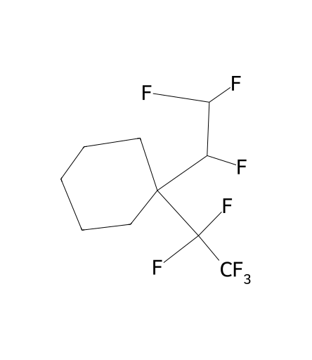 FC(F)C(F)C1(C(F)(F)C(F)(F)F)CCCCC1